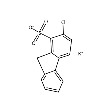 O=S(=O)([O-])c1c(Cl)ccc2c1Cc1ccccc1-2.[K+]